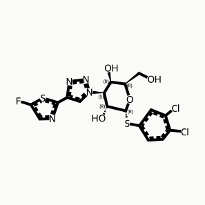 OC[C@H]1O[C@H](Sc2ccc(Cl)c(Cl)c2)[C@H](O)[C@@H](n2cc(-c3ncc(F)s3)nn2)[C@H]1O